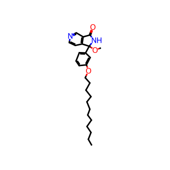 CCCCCCCCCCCCOc1cccc(C2(OC)NC(=O)c3cnccc32)c1